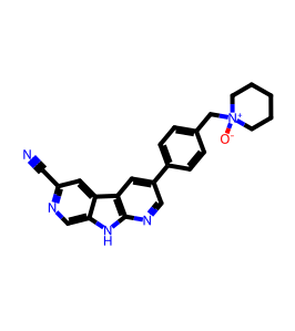 N#Cc1cc2c(cn1)[nH]c1ncc(-c3ccc(C[N+]4([O-])CCCCC4)cc3)cc12